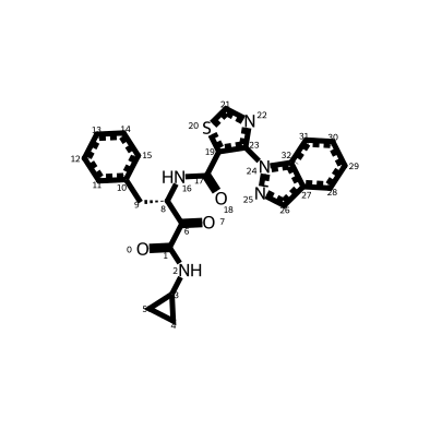 O=C(NC1CC1)C(=O)[C@H](Cc1ccccc1)NC(=O)c1scnc1-n1ncc2ccccc21